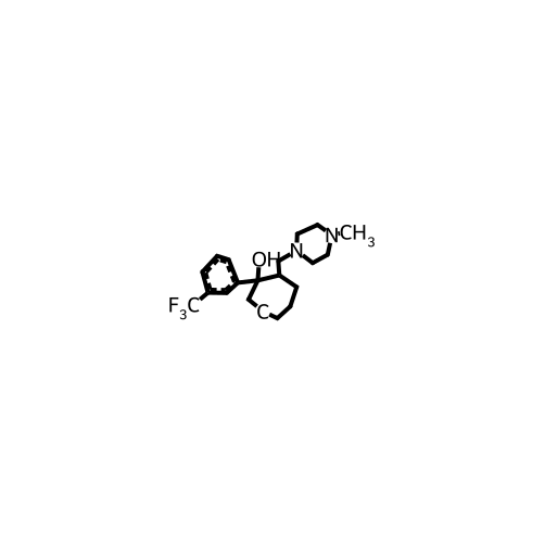 CN1CCN(CC2CCCCCC2(O)c2cccc(C(F)(F)F)c2)CC1